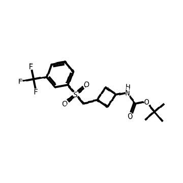 CC(C)(C)OC(=O)NC1CC(CS(=O)(=O)c2cccc(C(F)(F)F)c2)C1